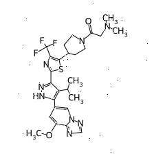 COc1cc(-c2[nH]nc(-c3nc(C(F)(F)F)c(C4CCN(C(=O)CN(C)C)CC4)s3)c2C(C)C)cn2ncnc12